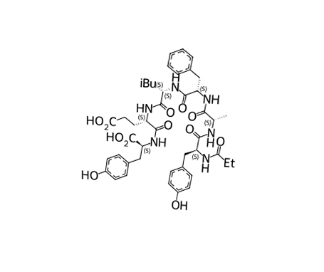 CCC(=O)N[C@@H](Cc1ccc(O)cc1)C(=O)N[C@@H](C)C(=O)N[C@@H](Cc1ccccc1)C(=O)N[C@H](C(=O)N[C@@H](CCC(=O)O)C(=O)N[C@@H](Cc1ccc(O)cc1)C(=O)O)[C@@H](C)CC